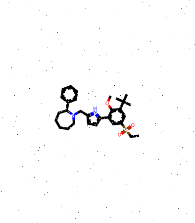 CCS(=O)(=O)c1cc(-c2ccc(CN3CCCCCC3c3ccccc3)[nH]2)c(OC)c(C(C)(C)C)c1